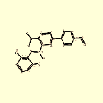 CC(C)c1ncc(-c2ccc(C=O)cc2)nc1N(C)Cc1c(Cl)cccc1Cl